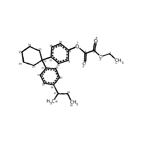 CCOC(=O)C(=O)Oc1ccc(C2(c3ccc(C(C)CC)cc3)CCCCC2)cc1